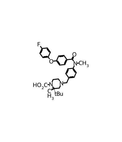 CN(C(=O)c1ccc(Oc2ccc(F)cc2)cc1)c1ccc(CN2CCN(C(=O)O)[C@@](C)(C(C)(C)C)C2)cc1